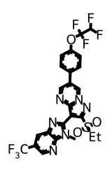 CCS(=O)(=O)c1nn2cc(-c3ccc(OC(F)(F)C(F)F)cc3)cnc2c1-c1nc2cc(C(F)(F)F)cnc2n1C